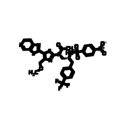 COCc1nc(N(C[C@@H](Cc2ccc(C(F)(F)F)cc2)NS(=O)(=O)c2ccc([N+](=O)[O-])cc2)C(C)=O)sc1-c1nc2ccncc2s1